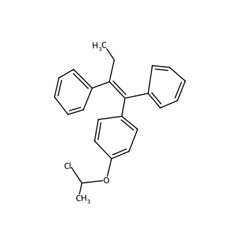 CC/C(=C(\c1ccccc1)c1ccc(OC(C)Cl)cc1)c1ccccc1